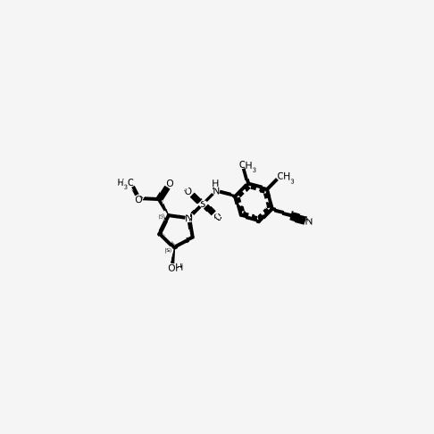 COC(=O)[C@@H]1C[C@H](O)CN1S(=O)(=O)Nc1ccc(C#N)c(C)c1C